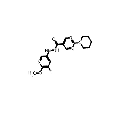 COc1ncc(NNC(=O)c2cnc(N3CCCCC3)nc2)cc1F